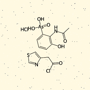 CC(=O)Nc1c(O)cccc1[As](=O)(O)O.Cl.O=C(Cl)Cc1cscn1